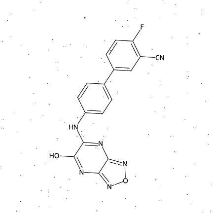 N#Cc1cc(-c2ccc(Nc3nc4nonc4nc3O)cc2)ccc1F